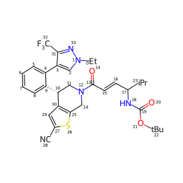 CCn1cc(-c2ccccc2[C@@H]2CN(C(=O)/C=C/C(NC(=O)OC(C)(C)C)C(C)C)Cc3sc(C#N)cc32)c(C(F)(F)F)n1